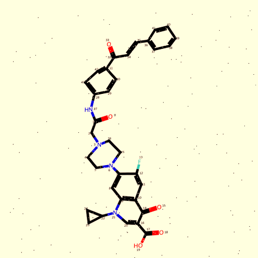 O=C(CN1CCN(c2cc3c(cc2F)c(=O)c(C(=O)O)cn3C2CC2)CC1)Nc1ccc(C(=O)/C=C/c2ccccc2)cc1